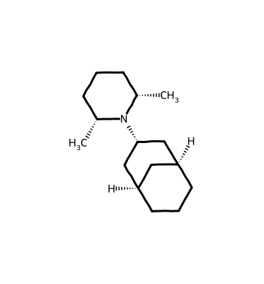 C[C@@H]1CCC[C@H](C)N1[C@H]1C[C@@H]2CCC[C@@H](C2)C1